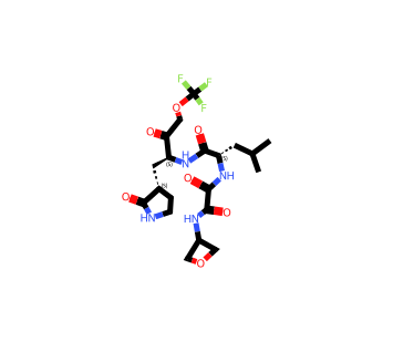 CC(C)C[C@H](NC(=O)C(=O)NC1COC1)C(=O)N[C@@H](C[C@@H]1CCNC1=O)C(=O)COC(F)(F)F